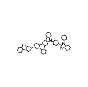 c1ccc(-n2c(-c3ccc(-n4c5ccccc5c5cc6c7ccc(-c8ccc9c(c8)oc8ccccc89)cc7c7ccccc7c6cc54)cc3)nc3ccccc32)cc1